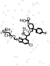 COC(COCC1(c2ccc(F)cc2)CCN(C(=O)O)CC1)c1cc(Cl)cc2cn(COCC[Si](C)(C)C)nc12